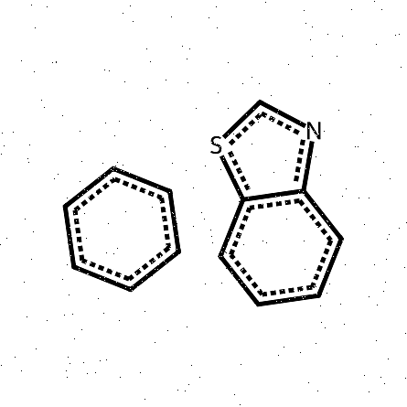 c1ccc2scnc2c1.c1ccccc1